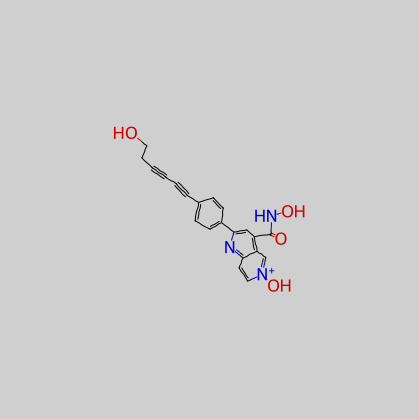 O=C(NO)c1cc(-c2ccc(C#CC#CCCO)cc2)nc2cc[n+](O)cc12